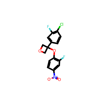 O=[N+]([O-])c1ccc(OC2(c3ccc(Cl)c(F)c3)COC2)c(F)c1